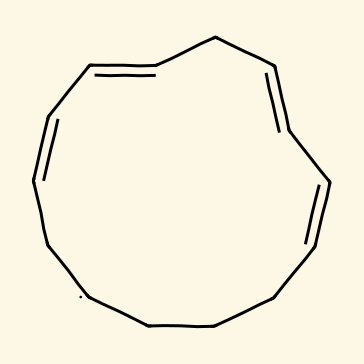 [CH]1C/C=C\C=C\C/C=C/C=C\CCC1